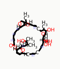 C/C(=C\[C@@H](C)[C@@H](C)O)[C@@H]1O[C@@H]2C=C[C@@H]1OC(=O)\C=C/C=C\C=C\[C@H]1OC3C[C@@H]1O[C@@H](/C=C/CC1O[C@H](C[C@H](O)C1C)[C@H](O)[C@@H](O)/C=C/CC/C=C/C2)C3C